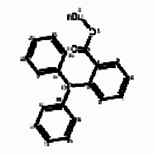 CCCCOC(=O)c1ccccc1P(c1ccccc1)c1ccccc1